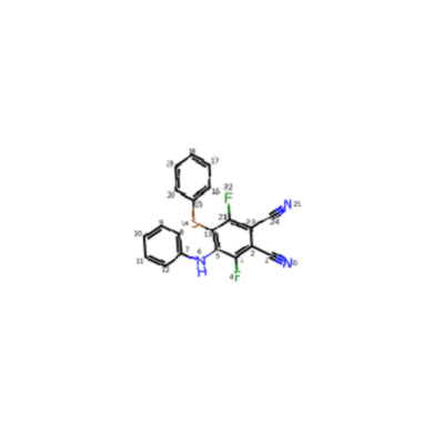 N#Cc1c(F)c(Nc2ccccc2)c(Sc2ccccc2)c(F)c1C#N